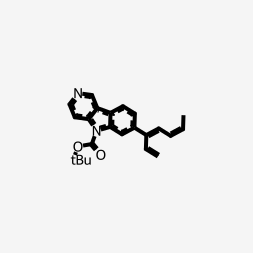 C=C/C(=C\C=C/C)c1ccc2c3cnccc3n(C(=O)OC(C)(C)C)c2c1